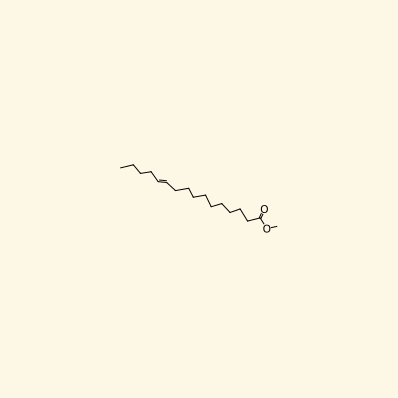 CCCCC=CCCCCCCCCCC(=O)OC